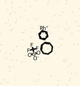 C1=C\CCCC\C=C/1.O=S(=O)([O-])C(F)(F)F.[Rh+].c1ccccc1